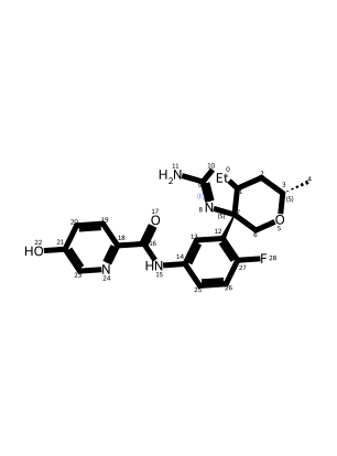 CCC1C[C@H](C)OC[C@@]1(/N=C(\C)N)c1cc(NC(=O)c2ccc(O)cn2)ccc1F